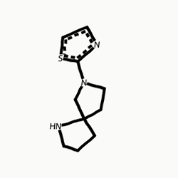 c1csc(N2CCC3(CCCN3)C2)n1